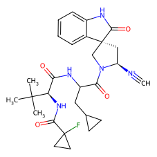 C#[N+][C@@H]1C[C@@]2(CN1C(=O)C(CC1CC1)NC(=O)[C@@H](NC(=O)C1(F)CC1)C(C)(C)C)C(=O)Nc1ccccc12